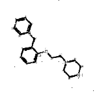 c1ccc(Cc2ccccc2OCCN2CCNCC2)cc1